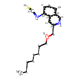 CCCCCCCCOCc1cc2c(N=C=S)cccc2cn1